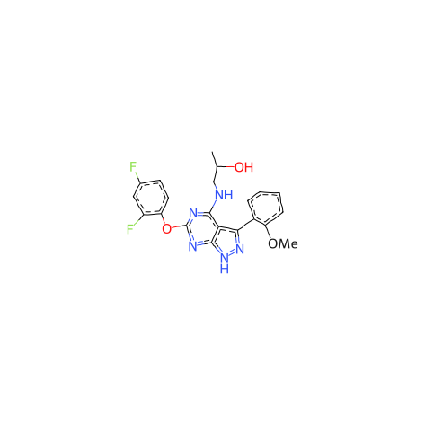 COc1ccccc1-c1n[nH]c2nc(Oc3ccc(F)cc3F)nc(NCC(C)O)c12